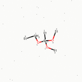 CCO[Si](CC)(OCC)O[SiH2]CC